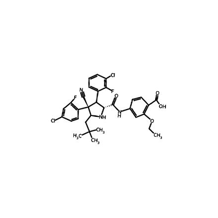 CCOc1cc(NC(=O)[C@@H]2NC(CC(C)(C)C)[C@](C#N)(c3ccc(Cl)cc3F)C2c2cccc(Cl)c2F)ccc1C(=O)O